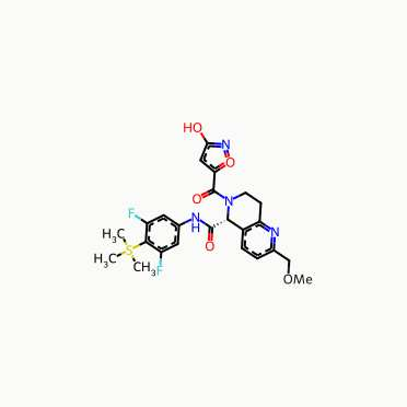 COCc1ccc2c(n1)CCN(C(=O)c1cc(O)no1)[C@H]2C(=O)Nc1cc(F)c(S(C)(C)C)c(F)c1